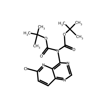 CC(C)(C)OC(=O)N(C(=O)OC(C)(C)C)c1ncnc2ccc(Cl)nc12